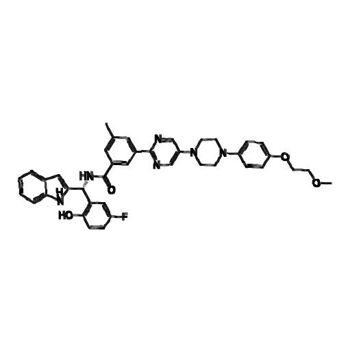 COCCOc1ccc(N2CCN(c3cnc(-c4cc(C)cc(C(=O)N[C@@H](c5cc6ccccc6[nH]5)c5cc(F)ccc5O)c4)nc3)CC2)cc1